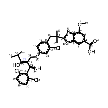 COc1cc(C(=O)O)cc2sc(C(C)(C)Cc3ccc(OC/C(C(=N)c4c(Cl)cccc4Cl)=C(/O)C(C)C)cc3Cl)nc12